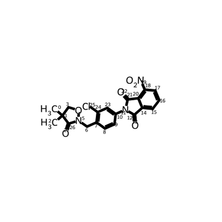 CC1(C)CON(Cc2ccc(N3C(=O)c4cccc([N+](=O)[O-])c4C3=O)cc2Cl)C1=O